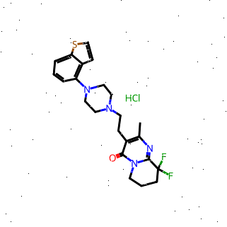 Cc1nc2n(c(=O)c1CCN1CCN(c3cccc4sccc34)CC1)CCCC2(F)F.Cl